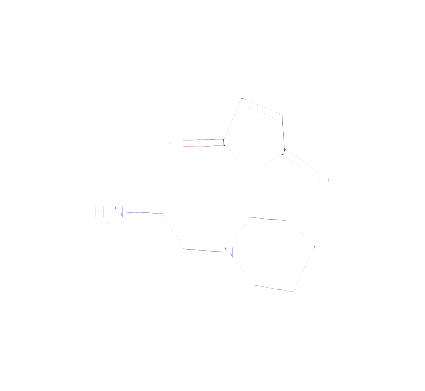 NCCN1CCCCC1.O=C1C=CC(=O)O1